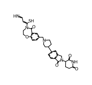 N=C/C=C(\S)N1CCOc2ccc(CN3CCC(c4ccc5c(c4)CN(C4CCC(=O)NC4=O)C5=O)CC3)cc2C1=O